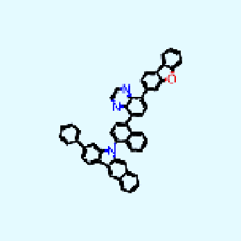 c1ccc(-c2ccc3c4cc5ccccc5cc4n(-c4ccc(-c5ccc(-c6ccc7c(c6)oc6ccccc67)c6nccnc56)c5ccccc45)c3c2)cc1